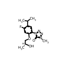 CC(C)c1cc(-n2nnn(C)c2=O)c(OC[C@@H](C)O)cc1F